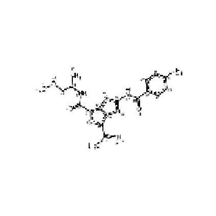 C=C(C)n1nc(C(=O)NC(C)COC)c2sc(NC(=O)c3ccc(C)cc3)nc21